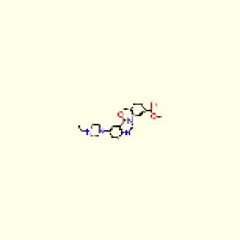 CCN1CCN(c2ccc3ncn(-c4cc(C(=O)OC)ccc4C)c(=O)c3c2)CC1